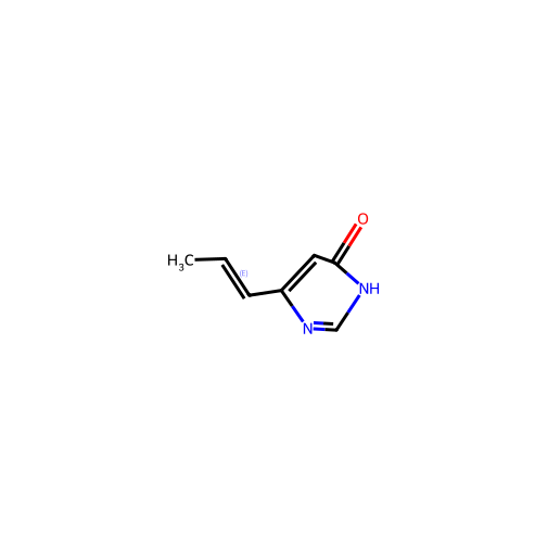 C/C=C/c1cc(=O)[nH]cn1